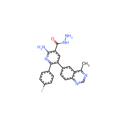 Cc1ncnc2ccc(-c3cc(C(=O)NN)c(N)nc3-c3ccc(F)cc3)cc12